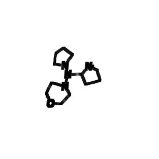 C1C[N]C(N(N2CCCC2)N2CCOCC2)C1